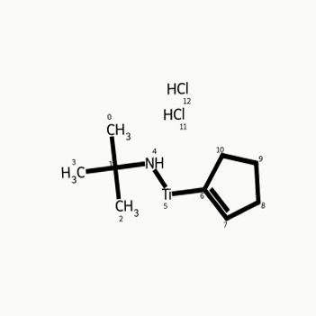 CC(C)(C)[NH][Ti][C]1=CCCC1.Cl.Cl